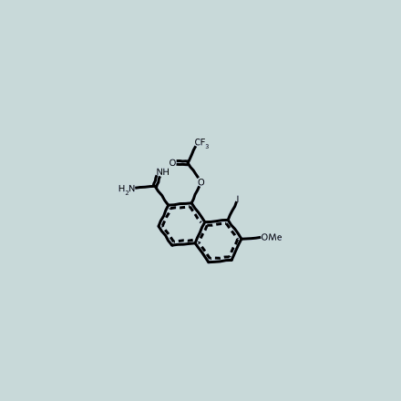 COc1ccc2ccc(C(=N)N)c(OC(=O)C(F)(F)F)c2c1I